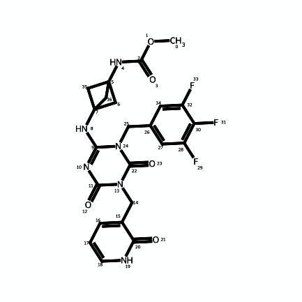 COC(=O)NC12CC(Nc3nc(=O)n(Cc4ccc[nH]c4=O)c(=O)n3Cc3cc(F)c(F)c(F)c3)(C1)C2